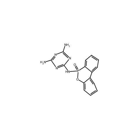 Nc1nc(N)nc(NP2(=O)Oc3ccccc3-c3ccccc32)n1